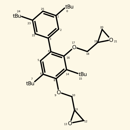 CC(C)(C)c1cc(-c2cc(C(C)(C)C)c(OCC3CO3)c(C(C)(C)C)c2OCC2CO2)cc(C(C)(C)C)c1